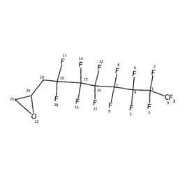 FC(F)(F)C(F)(F)C(F)(F)C(F)(F)C(F)(F)C(F)(F)C(F)(F)CC1CO1